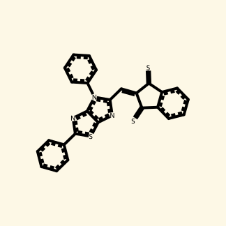 S=C1C(=Cc2nc3sc(-c4ccccc4)nc3n2-c2ccccc2)C(=S)c2ccccc21